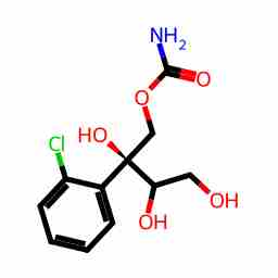 NC(=O)OC[C@@](O)(c1ccccc1Cl)C(O)CO